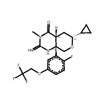 CN1C(=N)N[C@@]2(c3cc(OCC(F)(F)F)ccc3F)CO[C@@H](C3CC3)C[C@H]2C1=O